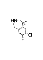 C[C@@H]1CNCCc2cc(F)c(Cl)cc21